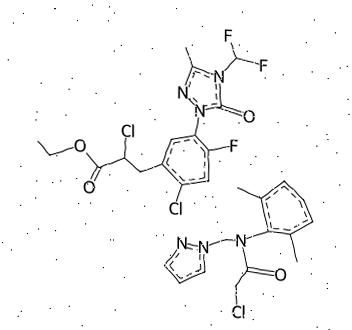 CCOC(=O)C(Cl)Cc1cc(-n2nc(C)n(C(F)F)c2=O)c(F)cc1Cl.Cc1cccc(C)c1N(Cn1cccn1)C(=O)CCl